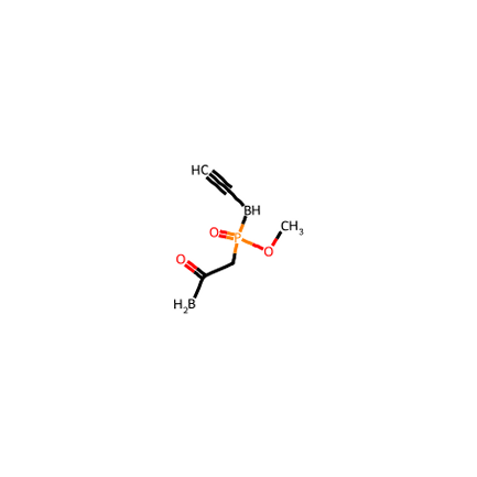 BC(=O)CP(=O)(BC#C)OC